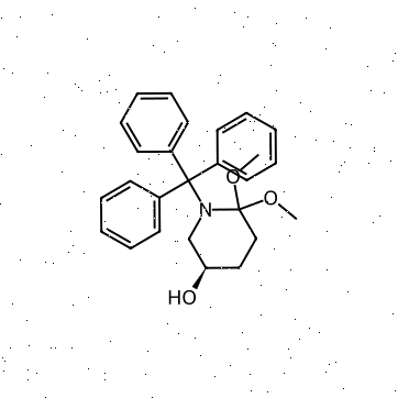 COC1(OC)CC[C@@H](O)CN1C(c1ccccc1)(c1ccccc1)c1ccccc1